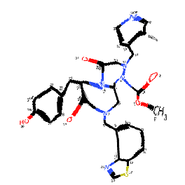 COC(=O)N1C2CN(CC3=CC=CC4SC=NC34)C(=O)C(Cc3ccc(O)cc3)N2C(=O)CN1Cc1ccncc1